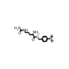 NC(=O)NCCC[C@H](N)C(=O)OCc1ccc([N+](=O)[O-])cc1